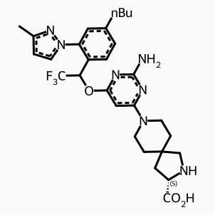 CCCCc1ccc(C(Oc2cc(N3CCC4(CC3)CN[C@H](C(=O)O)C4)nc(N)n2)C(F)(F)F)c(-n2ccc(C)n2)c1